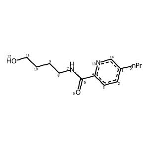 CCCc1ccc(C(=O)NCCCCO)nc1